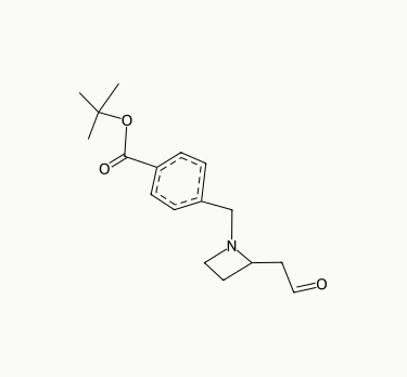 CC(C)(C)OC(=O)c1ccc(CN2CCC2CC=O)cc1